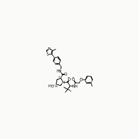 Cc1cccc(OCC(=O)NC(C(=O)N2C[C@H](O)C[C@H]2C(=O)NCc2ccc(-c3scnc3C)cc2)C(C)(C)C)c1